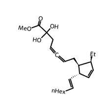 CCCCCCC=C[C@H]1C=C[C@H](CC)[C@@H]1CC=C=CCC(O)(O)C(=O)OC